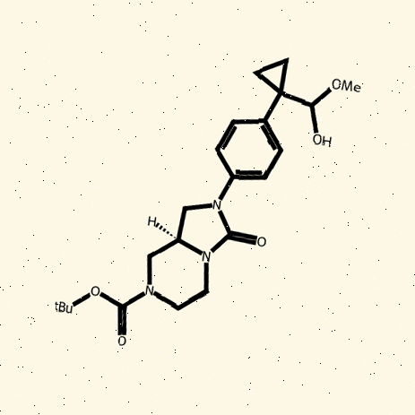 COC(O)C1(c2ccc(N3C[C@@H]4CN(C(=O)OC(C)(C)C)CCN4C3=O)cc2)CC1